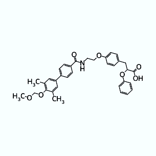 COCOc1c(C)cc(-c2ccc(C(=O)NCCOc3ccc(CC(Oc4ccccc4)C(=O)O)cc3)cc2)cc1C